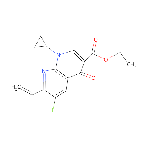 C=Cc1nc2c(cc1F)c(=O)c(C(=O)OCC)cn2C1CC1